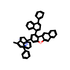 CC1=C=C(c2ccccc2)/N=C(/c2cc(-c3ccc(-c4ccccc4)c4ccccc34)c3c(c2)oc2cc4ccccc4cc23)C/C=C/1c1ccccc1